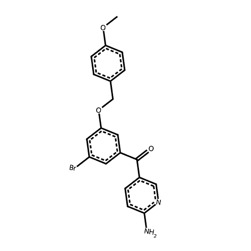 COc1ccc(COc2cc(Br)cc(C(=O)c3ccc(N)nc3)c2)cc1